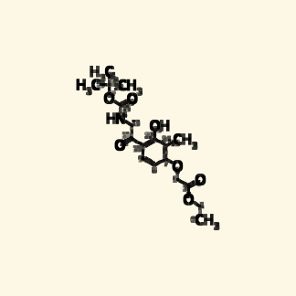 CCOC(=O)COc1ccc(C(=O)CNC(=O)OC(C)(C)C)c(O)c1C